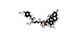 CCC(=O)O[C@]1(C(=O)COC(=O)NCCCN(C)C(=O)OCc2ccc(N)cc2)[C@@H](C)CC2[C@@H]3CCC4=CC(=O)C=C[C@]4(C)[C@@]3(Cl)[C@@H](O)C[C@@]21C